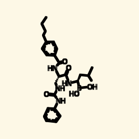 CCCCc1ccc(C(=O)N[C@@H](CNC(=O)Nc2ccccc2)C(=O)N[C@@H](CC(C)C)B(O)O)cc1